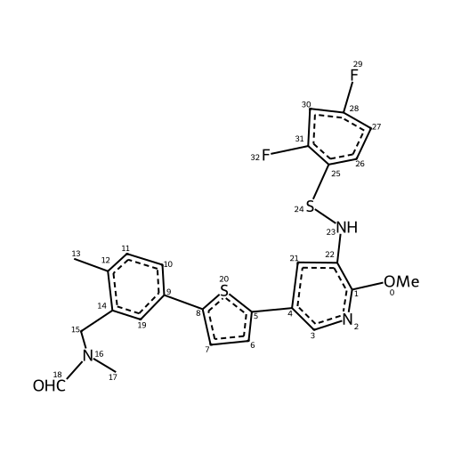 COc1ncc(-c2ccc(-c3ccc(C)c(CN(C)C=O)c3)s2)cc1NSc1ccc(F)cc1F